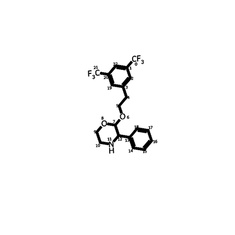 FC(F)(F)c1cc(CCOC2OCCNC2c2ccccc2)cc(C(F)(F)F)c1